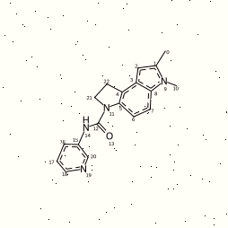 Cc1cc2c3c(ccc2n1C)N(C(=O)Nc1cccnc1)CC3